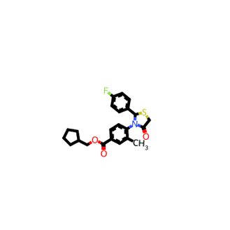 Cc1cc(C(=O)OCC2CCCC2)ccc1N1C(=O)CSC1c1ccc(F)cc1